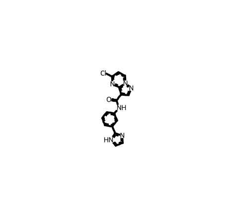 O=C(Nc1cccc(-c2ncc[nH]2)c1)c1cnn2ccc(Cl)nc12